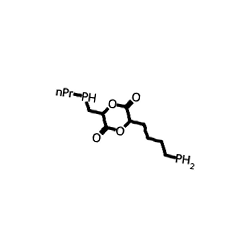 CCCPCC1OC(=O)C(CCCCP)OC1=O